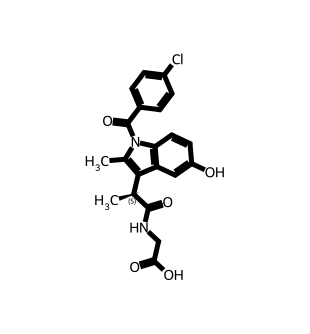 Cc1c([C@H](C)C(=O)NCC(=O)O)c2cc(O)ccc2n1C(=O)c1ccc(Cl)cc1